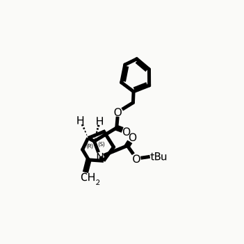 C=C1C[C@H]2CCC1N(C(=O)OC(C)(C)C)[C@@H]2C(=O)OCc1ccccc1